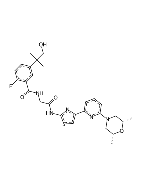 C[C@@H]1CN(c2cccc(-c3csc(NC(=O)CNC(=O)c4cc(C(C)(C)CO)ccc4F)n3)n2)C[C@H](C)O1